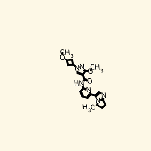 COc1nn(C2CC(OC)C2)cc1C(=O)Nc1cccc(-c2cnc3n2[C@@H](C)CC3)n1